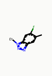 CCn1nnc2cc(C)c(F)cc21